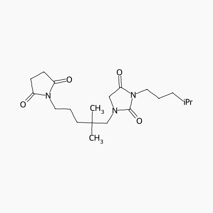 CC(C)CCCN1C(=O)CN(CC(C)(C)CCCN2C(=O)CCC2=O)C1=O